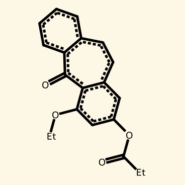 CCOc1cc(OC(=O)CC)cc2ccc3ccccc3c(=O)c12